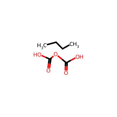 CCCC.O=C(O)OC(=O)O